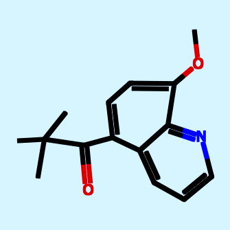 COc1ccc(C(=O)C(C)(C)C)c2cccnc12